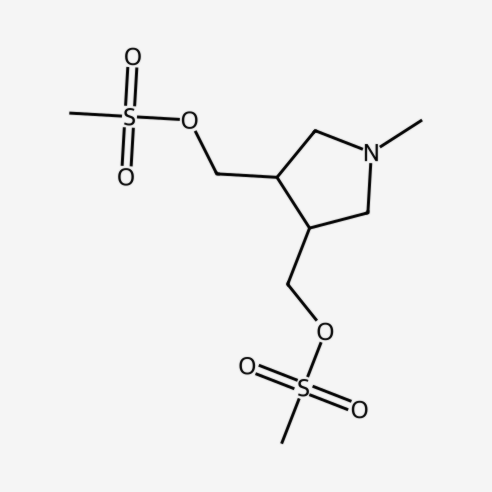 CN1CC(COS(C)(=O)=O)C(COS(C)(=O)=O)C1